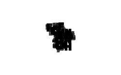 CC(c1ccc2cccnc2c1)(c1ccc(F)cc1F)C1CNCC[N]1